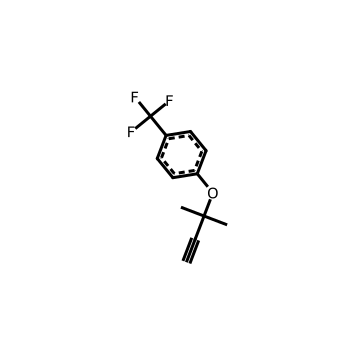 C#CC(C)(C)Oc1ccc(C(F)(F)F)cc1